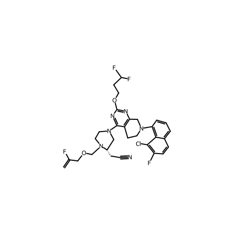 C=C(F)COCN1CCN(c2nc(OCCC(F)F)nc3c2CCN(c2cccc4ccc(F)c(Cl)c24)C3)C[C@@H]1CC#N